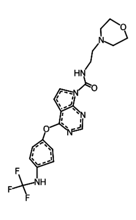 O=C(NCCN1CCOCC1)n1ccc2c(Oc3ccc(NC(F)(F)F)cc3)ncnc21